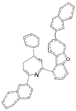 C1=C(c2ccc3ccccc3c2)N=C(c2cccc3oc4cc(-c5ccc6ccccc6c5)ccc4c23)N=C(c2ccccc2)C1